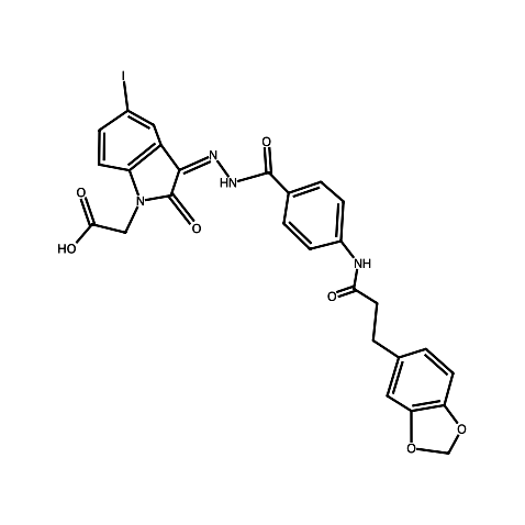 O=C(O)CN1C(=O)/C(=N\NC(=O)c2ccc(NC(=O)CCc3ccc4c(c3)OCO4)cc2)c2cc(I)ccc21